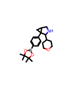 CC1(C)OB(c2ccc(C34CC3CNC4C3CCOCC3)cc2)OC1(C)C